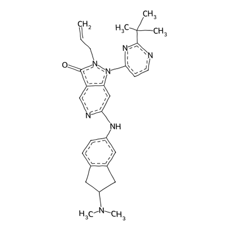 C=CCn1c(=O)c2cnc(Nc3ccc4c(c3)CC(N(C)C)C4)cc2n1-c1ccnc(C(C)(C)C)n1